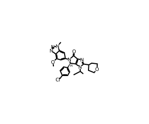 COc1cc(N2C(=O)c3nc(C4CCOCC4)n(C(C)C)c3[C@H]2c2ccc(Cl)cc2)cc2c1nnn2C